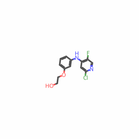 OCCOc1cccc(Nc2cc(Cl)ncc2F)c1